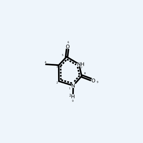 [2H]n1cc(C)c(=O)[nH]c1=O